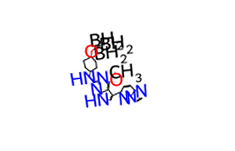 BC(B)(B)O[C@H]1CC[C@@H](Nc2nc(OC)c3c(-c4ccc5nccn5n4)c[nH]c3n2)CC1